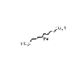 O=C(O)CCCCCCCCC(=O)O.[Fe]